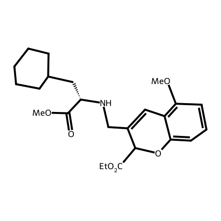 CCOC(=O)C1Oc2cccc(OC)c2C=C1CN[C@@H](CC1CCCCC1)C(=O)OC